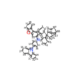 c1ccc2c(c1)-c1c(N(c3ccc(-n4c5ccccc5c5ccccc54)cc3)c3ccc4c(c3)oc3ccccc34)cccc1C21C2CC3CC4CC1C4(C3)C2